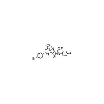 O=C(Nc1ccc(F)cc1F)c1nn2c(C(F)(F)F)cc(-c3ccc(Br)cc3)nc2c1Br